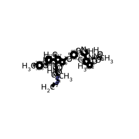 C=C/C=C\C=C(/C)S(=O)(=O)NC(=O)Nc1c2c(cc(C)c1-c1ccnc(OC3CCN(C)CC3)c1)C(CO[C@H]1CC[C@@H](Oc3cc(-c4c(C)cc5c(c4NC(=O)NS(C)(=O)=O)CCC5)ccn3)CC1)CC2